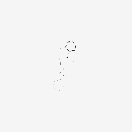 Cc1cccc(C)c1C(=O)O[C@@H](C)C[N+](C)(C)C1CCCCC1